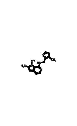 CCCn1c(C)cc2ccnc(NCc3sccc3C)c21